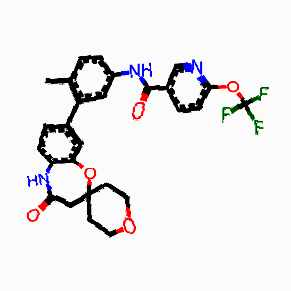 Cc1ccc(NC(=O)c2ccc(OC(F)(F)F)nc2)cc1-c1ccc2c(c1)OC1(CCOCC1)CC(=O)N2